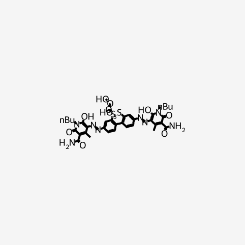 CCCCn1c(O)c(N=Nc2ccc(-c3ccc(N=Nc4c(C)c(C(N)=O)c(=O)n(CCCC)c4O)cc3S(=O)(=O)O)c(SOOO)c2)c(C)c(C(N)=O)c1=O